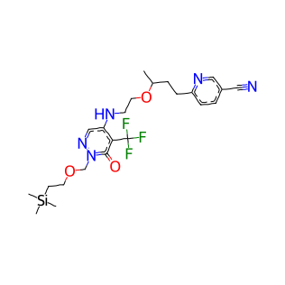 CC(CCc1ccc(C#N)cn1)OCCNc1cnn(COCC[Si](C)(C)C)c(=O)c1C(F)(F)F